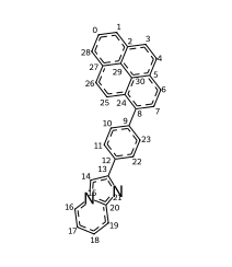 c1cc2ccc3ccc(-c4ccc(-c5cn6ccccc6n5)cc4)c4ccc(c1)c2c34